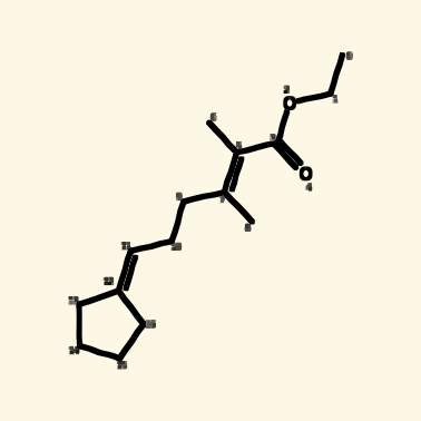 CCOC(=O)/C(C)=C(\C)CCC=C1CCCC1